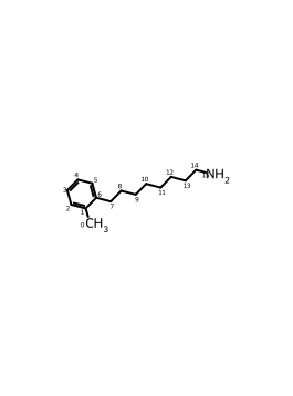 Cc1ccccc1CCCCCCCCN